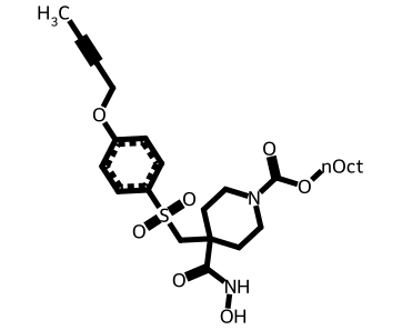 CC#CCOc1ccc(S(=O)(=O)CC2(C(=O)NO)CCN(C(=O)OCCCCCCCC)CC2)cc1